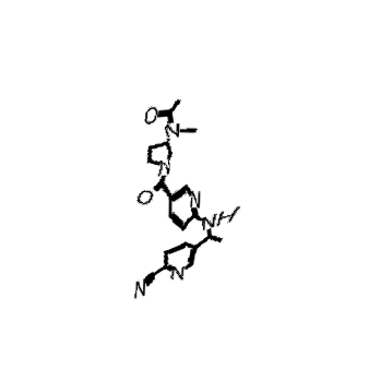 CC(=O)N(C)[C@H]1CCN(C(=O)c2ccc(NC(C)c3ccc(C#N)nc3)nc2)C1